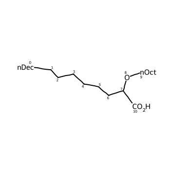 CCCCCCCCCCCCCCCCC(OCCCCCCCC)C(=O)O